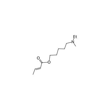 C/C=C/C(=O)OCCCCCN(C)CC